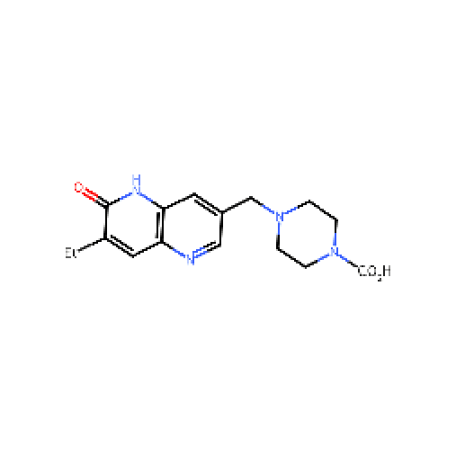 CCc1cc2ncc(CN3CCN(C(=O)O)CC3)cc2[nH]c1=O